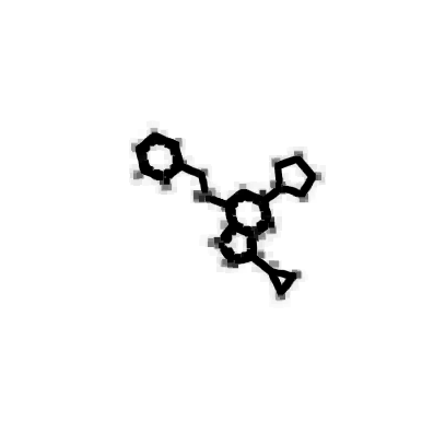 c1ccc(CNc2cc(N3CCCC3)nn3c(C4CC4)nnc23)nc1